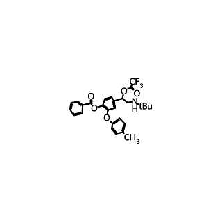 Cc1ccc(Oc2cc(C(CNC(C)(C)C)OC(=O)C(F)(F)F)ccc2OC(=O)c2ccccc2)cc1